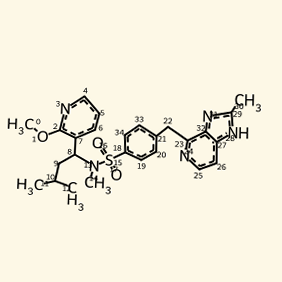 COc1ncccc1C(CC(C)C)N(C)S(=O)(=O)c1ccc(Cc2nccc3[nH]c(C)nc23)cc1